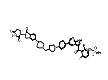 CCCS(=O)(=O)Nc1ccc(F)c(C(=O)c2c[nH]c3ncc(-c4ccc(N5CCC(CN6CCN(c7ccc8c(c7)CN([C@@H]7CCC(=O)NC7=O)C8=O)CC6)CC5)cc4)cc23)c1F